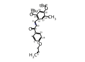 C=CCOc1ccc(C(=O)/C=C/c2cc(C)c(OC(C)(C)C)cc2OC(C)(C)C)cc1